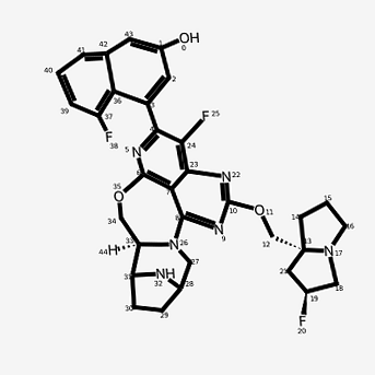 Oc1cc(-c2nc3c4c(nc(OC[C@]56CCCN5C[C@@H](F)C6)nc4c2F)N2CC4CCC(N4)[C@H]2CO3)c2c(F)cccc2c1